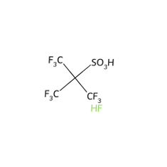 F.O=S(=O)(O)C(C(F)(F)F)(C(F)(F)F)C(F)(F)F